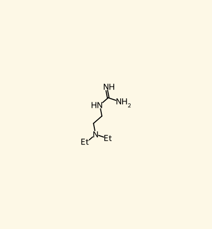 CCN(CC)CCNC(=N)N